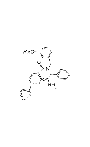 COc1cccc(CN(C(=O)c2ccc(-c3ccccc3)cc2)[C@@H](C(N)=O)c2ccccc2)c1